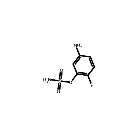 Nc1ccc(F)c(OS(N)(=O)=O)c1